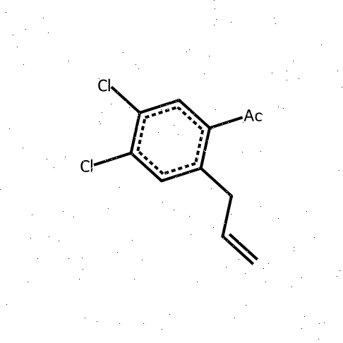 C=CCc1cc(Cl)c(Cl)cc1C(C)=O